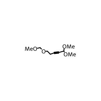 COCOCCC#CC(OC)OC